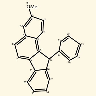 COc1ccc2c3c(ccc2c1)-c1ccccc1C3c1ccccc1